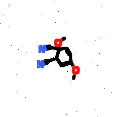 COC1=CC(C#N)C(C#N)(OC)C=C1